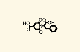 O=C(O)C1=CC(=O)N(C(Cc2ccccc2)C(=O)O)C(=O)C1